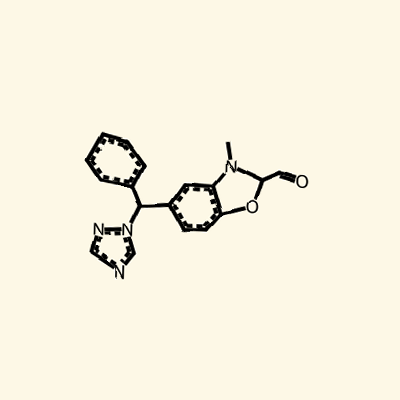 CN1c2cc(C(c3ccccc3)n3cncn3)ccc2OC1C=O